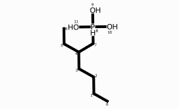 CCCCC(CC)C[PH](O)(O)O